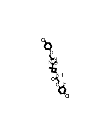 CC1(c2nc(COc3ccc(Cl)cc3)no2)C=C(NC(=O)COc2ccc(Cl)cc2F)C1